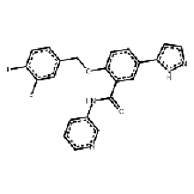 O=C(Nc1cccnc1)c1cc(-c2ccn[nH]2)ccc1OCc1ccc(F)c(F)c1